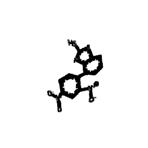 O=[N+]([O-])c1ccc(-c2cccc3sc(S)nc23)c([N+](=O)[O-])c1